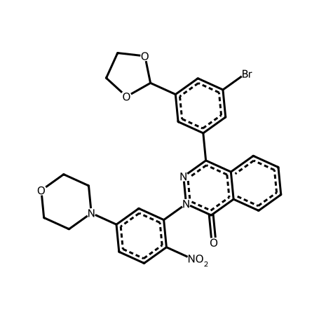 O=c1c2ccccc2c(-c2cc(Br)cc(C3OCCO3)c2)nn1-c1cc(N2CCOCC2)ccc1[N+](=O)[O-]